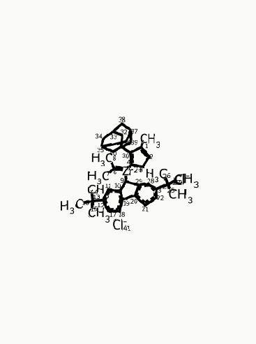 CC1=CC[C]([Zr+2](=[C](C)C)[CH]2c3cc(C(C)(C)C)ccc3-c3ccc(C(C)(C)C)cc32)=C1C12CC3CC(CC(C3)C1)C2.[Cl-].[Cl-]